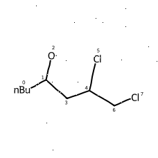 CCCCC([O])CC(Cl)CCl